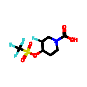 O=C(O)N1CC[C@@H](OS(=O)(=O)C(F)(F)F)[C@@H](F)C1